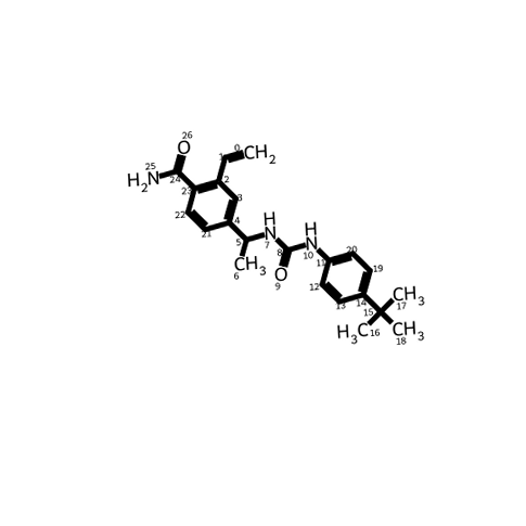 C=Cc1cc(C(C)NC(=O)Nc2ccc(C(C)(C)C)cc2)ccc1C(N)=O